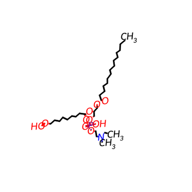 CCCCCCCCCCCCCCCC(=O)OCC(COP(=O)(O)OCCN(C)CC)OC(=O)CCCCCCCCOO